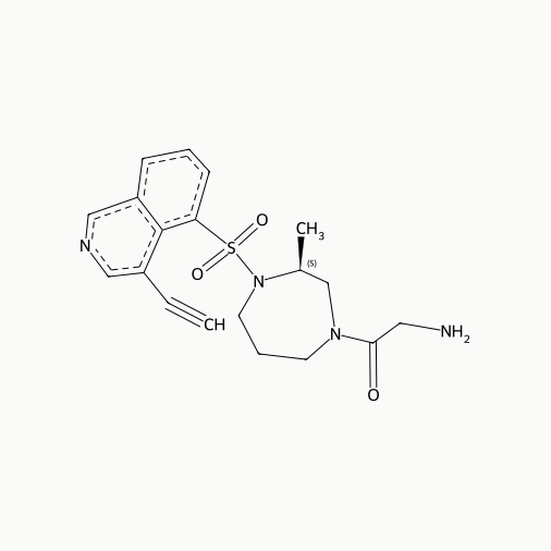 C#Cc1cncc2cccc(S(=O)(=O)N3CCCN(C(=O)CN)C[C@@H]3C)c12